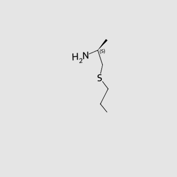 CCCSC[C@H](C)N